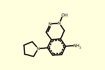 Nc1ccc(N2CCCC2)c2c1CN(O)N=C2